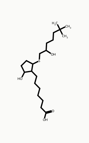 CC(C)(C)CCCC(O)CSC1CCC(O)C1CCCCCCC(=O)O